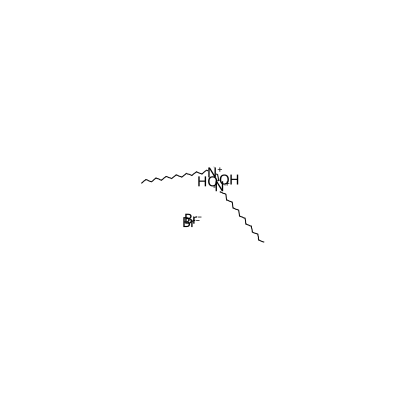 CCCCCCCCCCCCCC[N+](C)(C)CC(O)(O)[N+](C)(C)CCCCCCCCCCCCCC.[Br-].[Br-]